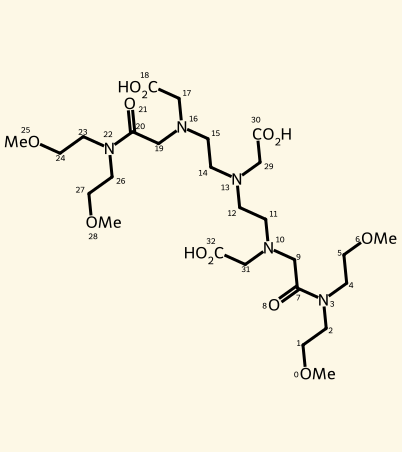 COCCN(CCOC)C(=O)CN(CCN(CCN(CC(=O)O)CC(=O)N(CCOC)CCOC)CC(=O)O)CC(=O)O